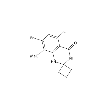 COc1c(Br)cc(Cl)c2c1NC1(CCC1)NC2=O